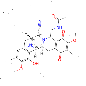 COC1=C(C)C(=O)C2=C(C1=O)C(CNC(C)=O)N1[C@@H](C#N)[C@H]3Cc4cc(C)c(OC)c(O)c4[C@H]([C@@H]1C2)N3C